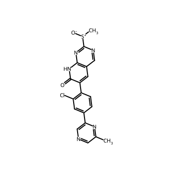 Cc1cncc(-c2ccc(-c3cc4cnc([S+](C)[O-])nc4[nH]c3=O)c(Cl)c2)n1